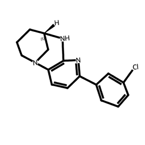 Clc1cccc(-c2ccc3c(n2)N[C@H]2CCCN3C2)c1